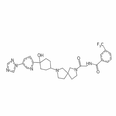 O=C(NCC(=O)N1CCC2(CCN(C3CCC(O)(c4ccc(-n5cncn5)cn4)CC3)C2)C1)c1cccc(C(F)(F)F)c1